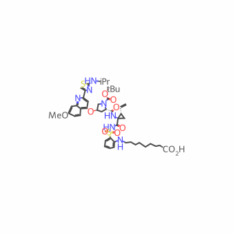 C=C[C@@H]1C[C@]1(NC(=O)[C@@H]1C[C@@H](Oc2cc(-c3csc(NC(C)C)n3)nc3cc(OC)ccc23)CN1C(=O)OC(C)(C)C)C(=O)NS(=O)(=O)c1ccccc1NCCCCCCCCC(=O)O